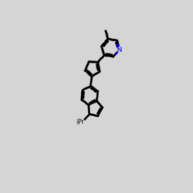 Cc1cncc(C2=CC(c3ccc4c(c3)C=CC4C(C)C)=CC2)c1